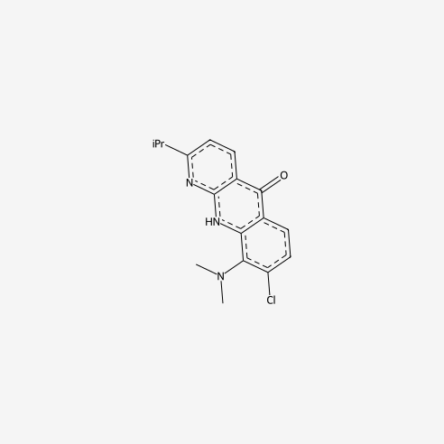 CC(C)c1ccc2c(=O)c3ccc(Cl)c(N(C)C)c3[nH]c2n1